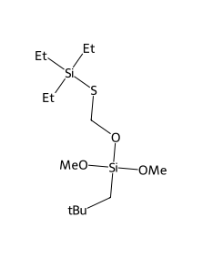 CC[Si](CC)(CC)SCO[Si](CC(C)(C)C)(OC)OC